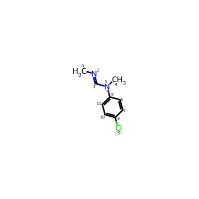 CN=CN(C)c1ccc(Cl)cc1